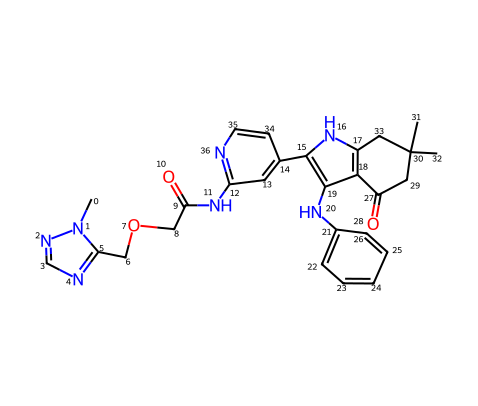 Cn1ncnc1COCC(=O)Nc1cc(-c2[nH]c3c(c2Nc2ccccc2)C(=O)CC(C)(C)C3)ccn1